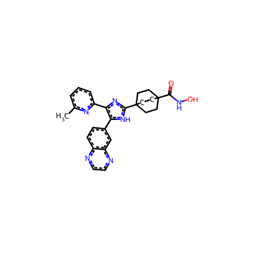 Cc1cccc(-c2nc(C34CCC(C(=O)NO)(CC3)CC4)[nH]c2-c2ccc3nccnc3c2)n1